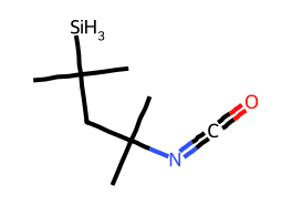 CC(C)([SiH3])CC(C)(C)N=C=O